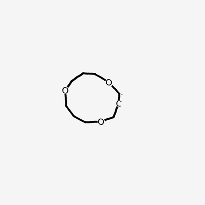 [CH]1CCOCCCOCCCO1